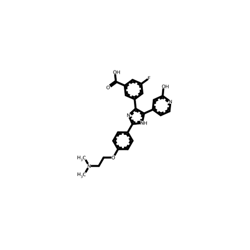 CN(C)CCOc1ccc(-c2nc(-c3cc(F)cc(C(=O)O)c3)c(-c3ccnc(O)c3)[nH]2)cc1